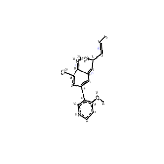 C/C=C/C(N)/C=C1/C=C(c2cnccc2OC)C=C(Cl)/C1=N/C